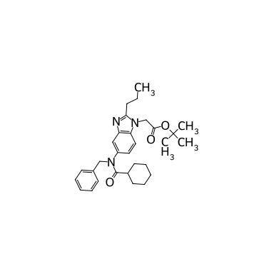 CCCc1nc2cc(N(Cc3ccccc3)C(=O)C3CCCCC3)ccc2n1CC(=O)OC(C)(C)C